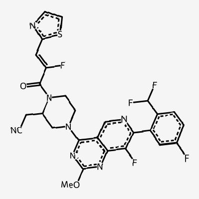 COc1nc(N2CCN(C(=O)/C(F)=C/c3nccs3)C(CC#N)C2)c2cnc(-c3cc(F)ccc3C(F)F)c(F)c2n1